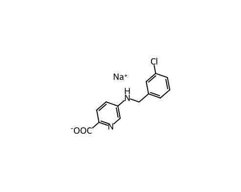 O=C([O-])c1ccc(NCc2cccc(Cl)c2)cn1.[Na+]